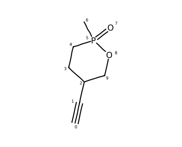 C#CC1CCP(C)(=O)OC1